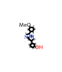 COc1[c]ccc(-c2cnc3cc(-c4cccc(O)c4)cnn23)c1